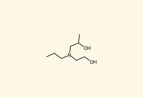 CCCN(CCO)CC(C)O